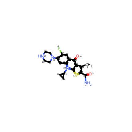 Cc1c(C(N)=O)sc2c1c(=O)c1cc(F)c(N3CCNCC3)cc1n2C1CC1